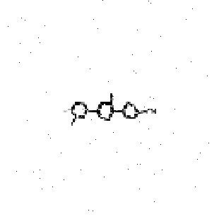 Cc1ccc(-c2ccc(-c3ccc(C#N)cc3)c(F)c2)cc1C